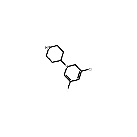 ClC1=CN(C2CCNCC2)CC(Cl)=C1